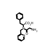 NCC(=O)N(Cc1ccccn1)[C@@H](Cc1ccccc1)C(=O)O